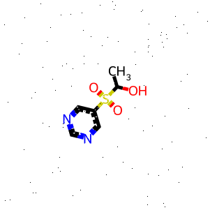 CC(O)S(=O)(=O)c1cncnc1